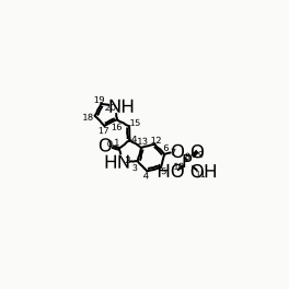 O=C1Nc2ccc(OP(=O)(O)O)cc2C1=Cc1ccc[nH]1